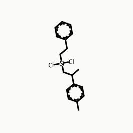 Cc1ccc(C(C)C[Si](Cl)(Cl)CCc2ccccc2)cc1